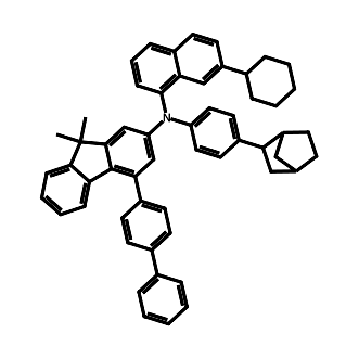 CC1(C)c2ccccc2-c2c(-c3ccc(-c4ccccc4)cc3)cc(N(c3ccc(C4CC5CCC4C5)cc3)c3cccc4ccc(C5CCCCC5)cc34)cc21